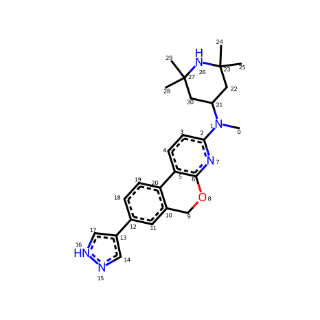 CN(c1ccc2c(n1)OCc1cc(-c3cn[nH]c3)ccc1-2)C1CC(C)(C)NC(C)(C)C1